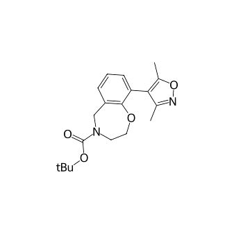 Cc1noc(C)c1-c1cccc2c1OCCN(C(=O)OC(C)(C)C)C2